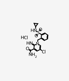 Cl.N=c1c(C(N)=O)cc(Cl)cn1Cc1ccccc1S(=O)(=O)NC1CC1